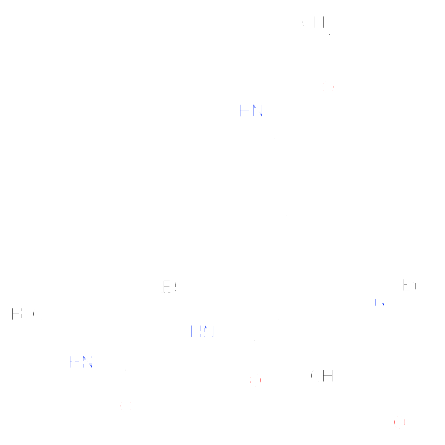 C=CC(=O)Nc1ccc(-c2cc(C(=O)NCc3c(CC)cc(C)[nH]c3=O)c(C)c(N(CC)C3CCOCC3)c2)cc1